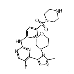 Cc1ncc(-c2nc(Nc3ccc(S(=O)(=O)N4CCNCC4)cc3)ncc2F)n1C1CCOCC1